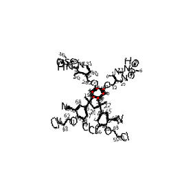 Cc1nc(NS(C)(=O)=O)ncc1COc1ccc(C(C)(CC(C)(c2ccc(OCc3ccnc(NS(C)(=O)=O)c3C)cc2)c2cc(Cl)c(OCCCl)c(C#N)c2)c2cc(Cl)c(OCCCl)c(C#N)c2)cc1